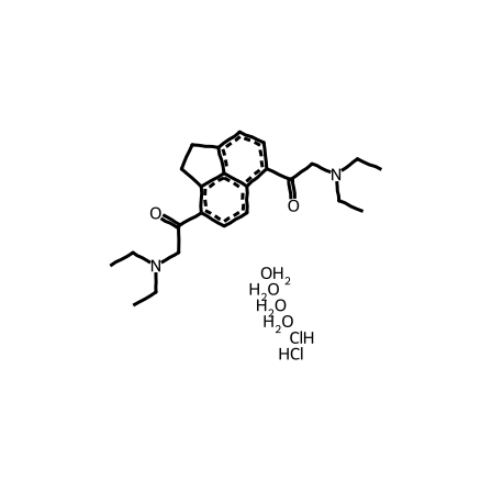 CCN(CC)CC(=O)c1ccc2c(C(=O)CN(CC)CC)ccc3c2c1CC3.Cl.Cl.O.O.O.O